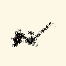 COCCOCCOCCOCCOCCOCCOCCOCCC(=O)NC[C@H](NC(=O)CCCCCN1C(=O)C=CC1=O)C(=O)N[C@H](C(=O)N[C@@H](C)C(=O)Nc1ccc(COC(=O)N(C)Cc2ccccc2C(=O)Nc2nc3c(ncn3[C@@H]3O[C@@H]4CO[P@@](=O)(S)O[C@H]5C[C@H](Oc6ccncn6)C[C@@H]5CO[P@@](=O)(S)O[C@@H]3[C@@H]4O)c(=O)[nH]2)cc1)C(C)C